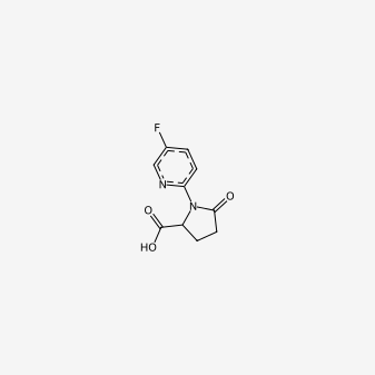 O=C(O)C1CCC(=O)N1c1ccc(F)cn1